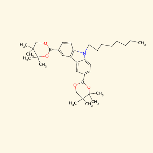 CCCCCCCCn1c2ccc(B3OCC(C)(C)C(C)(C)O3)cc2c2cc(B3OCC(C)(C)C(C)(C)O3)ccc21